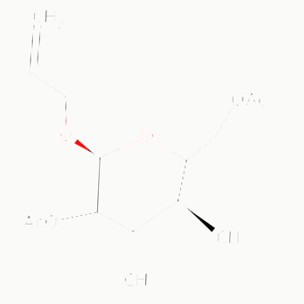 C=CCO[C@H]1OC(COC(C)=O)[C@@H](C)[C@H](C)C1OC(C)=O